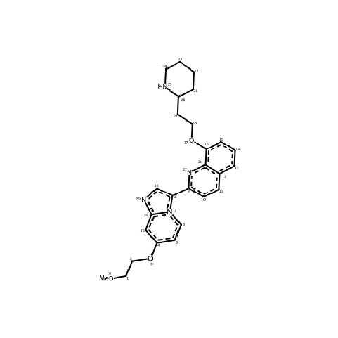 COCCOc1ccn2c(-c3ccc4cccc(OCCC5CCCCN5)c4n3)cnc2c1